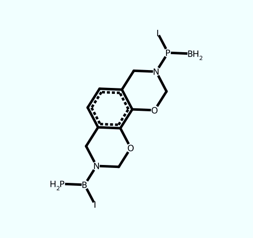 BP(I)N1COc2c(ccc3c2OCN(B(P)I)C3)C1